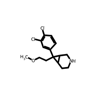 COCCC1(c2ccc(Cl)c(Cl)c2)C2CCNCC21